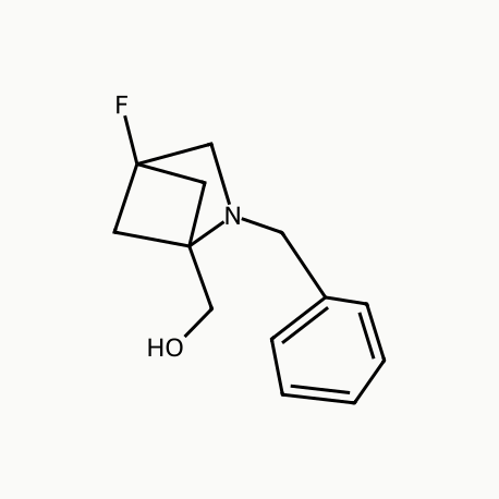 OCC12CC(F)(CN1Cc1ccccc1)C2